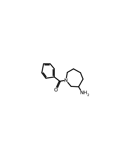 NC1CCCCN(C(=O)c2ccccc2)C1